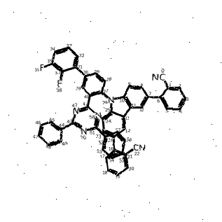 N#Cc1ccccc1-c1ccc2c(c1)c1cc(-c3ccccc3C#N)ccc1n2-c1ccc(-c2cccc(F)c2F)cc1-c1nc(-c2ccccc2)nc(-c2ccccc2)n1